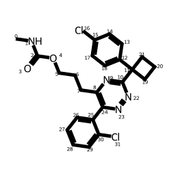 CNC(=O)OCCCc1nc(C2(c3ccc(Cl)cc3)CCC2)nnc1-c1ccccc1Cl